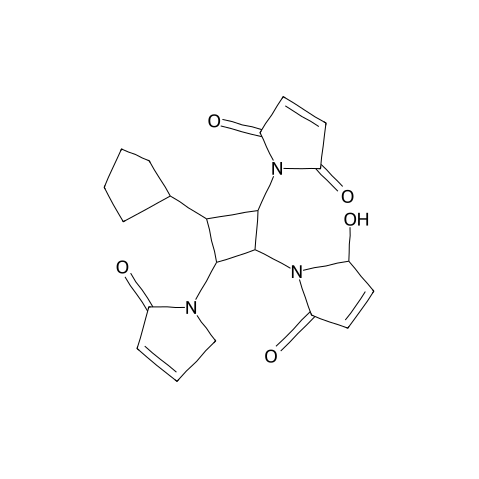 O=C1C=CCN1C1C(C2CCCC2)C(N2C(=O)C=CC2=O)C1N1C(=O)C=CC1O